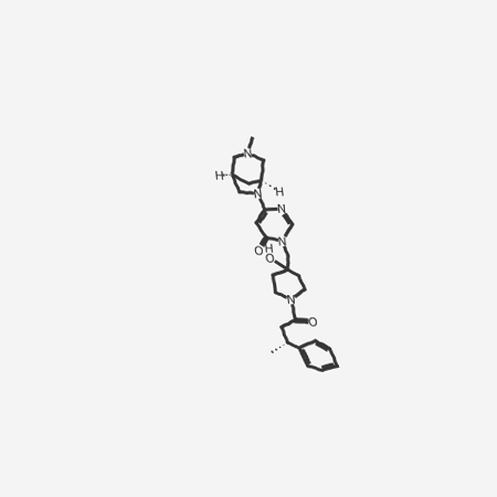 C[C@H](CC(=O)N1CCC(O)(Cn2cnc(N3C[C@@H]4C[C@H]3CN(C)C4)cc2=O)CC1)c1ccccc1